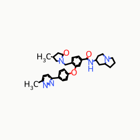 Cc1ccc(-c2ccc(Oc3cc(C(=O)NC4CCN5CCCC5C4)ccc3CN3C[C@@H](C)CC3=O)cc2)nn1